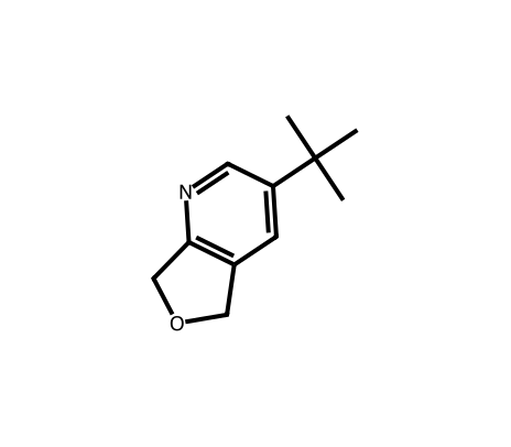 CC(C)(C)c1cnc2c(c1)COC2